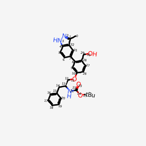 Cc1n[nH]c2ccc(-c3cc(OC[C@H](Cc4ccccc4)NC(=O)OC(C)(C)C)ccc3CO)cc12